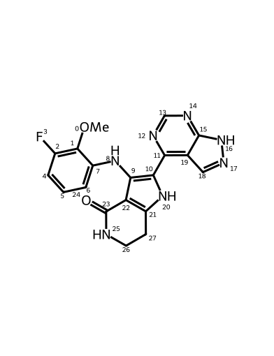 COc1c(F)cccc1Nc1c(-c2ncnc3[nH]ncc23)[nH]c2c1C(=O)NCC2